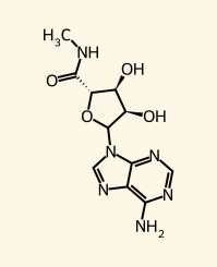 CNC(=O)[C@H]1OC(n2cnc3c(N)ncnc32)[C@H](O)[C@@H]1O